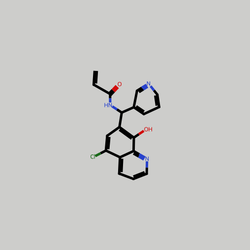 C=CC(=O)NC(c1cccnc1)c1cc(Cl)c2cccnc2c1O